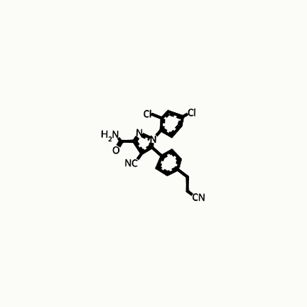 N#CCCc1ccc(-c2c(C#N)c(C(N)=O)nn2-c2ccc(Cl)cc2Cl)cc1